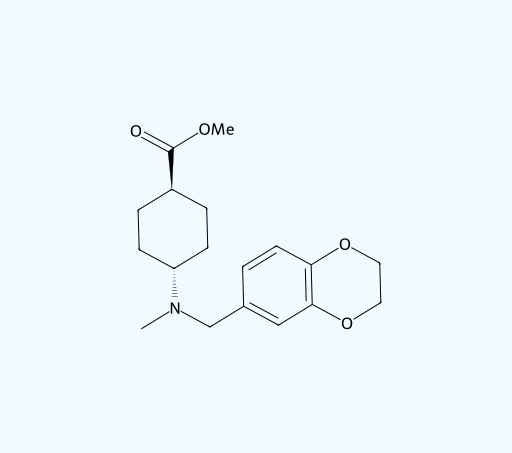 COC(=O)[C@H]1CC[C@H](N(C)Cc2ccc3c(c2)OCCO3)CC1